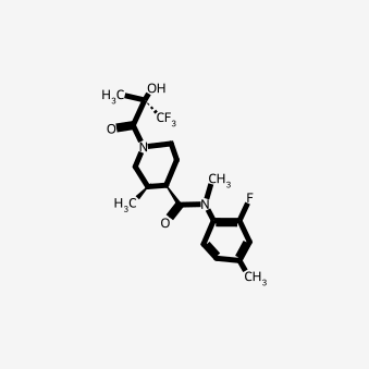 Cc1ccc(N(C)C(=O)[C@@H]2CCN(C(=O)[C@@](C)(O)C(F)(F)F)C[C@@H]2C)c(F)c1